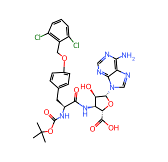 CC(C)(C)OC(=O)N[C@@H](Cc1ccc(OCc2c(Cl)cccc2Cl)cc1)C(=O)N[C@H]1[C@@H](O)[C@H](n2cnc3c(N)ncnc32)O[C@@H]1C(=O)O